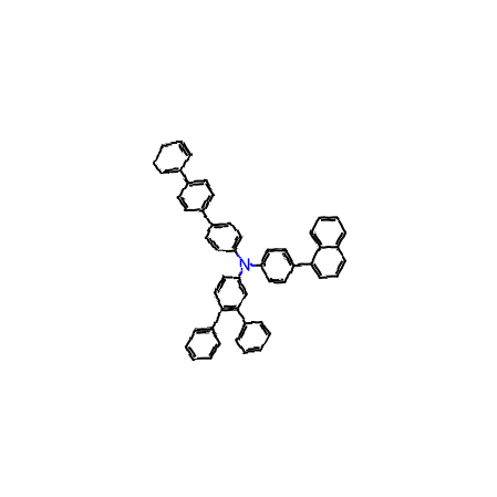 C1=CC(c2ccc(-c3ccc(N(c4ccc(-c5cccc6ccccc56)cc4)c4ccc(-c5ccccc5)c(-c5ccccc5)c4)cc3)cc2)=CCC1